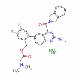 CN(C)CC(=O)OCc1cc(F)c(F)cc1-c1ccc2nc(N)nc(C(=O)N3Cc4ccccc4C3)c2c1.Cl.Cl